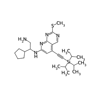 CSc1ncc2c(C#C[Si](C(C)C)(C(C)C)C(C)C)cc(NC(CN)C3CCCC3)nc2n1